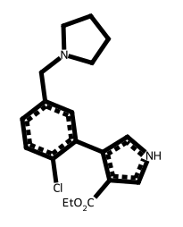 CCOC(=O)c1c[nH]cc1-c1cc(CN2CCCC2)ccc1Cl